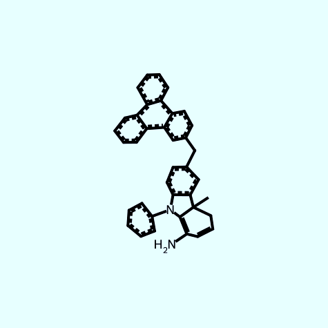 CC12CC=CC(N)=C1N(c1ccccc1)c1ccc(Cc3ccc4c5ccccc5c5ccccc5c4c3)cc12